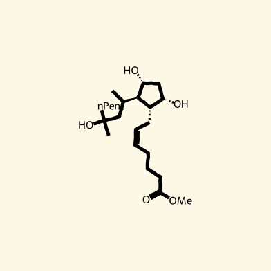 CCCCCC(C)(O)CC(C)[C@@H]1[C@@H](C/C=C\CCCC(=O)OC)[C@@H](O)C[C@H]1O